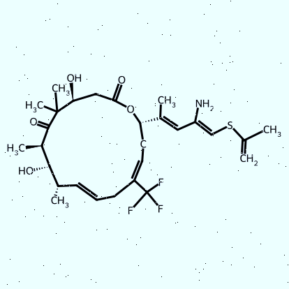 C=C(C)S/C=C(N)/C=C(\C)[C@@H]1C/C=C(/C(F)(F)F)C/C=C/[C@H](C)[C@H](O)[C@@H](C)C(=O)C(C)(C)[C@@H](O)CC(=O)O1